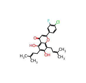 CC(C)=CCc1c(O)c(CC=C(C)C)c2oc(-c3ccc(Cl)c(F)c3)cc(=O)c2c1O